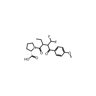 CCC(C(=O)N1CCC[C@H]1C(=O)O)C(C(=O)c1ccc(OC)cc1)C(F)F